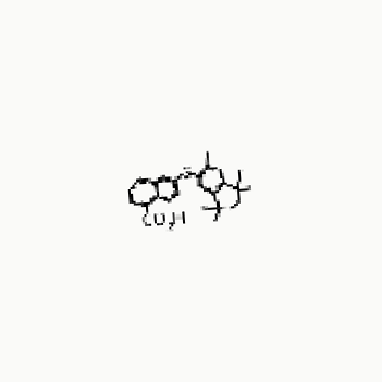 Cc1cc2c(cc1Sc1ccc3c(C(=O)O)cccc3c1)C(C)(C)CCC2(C)C